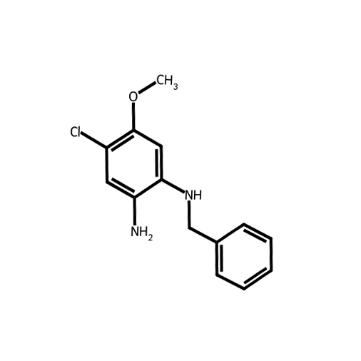 COc1cc(NCc2ccccc2)c(N)cc1Cl